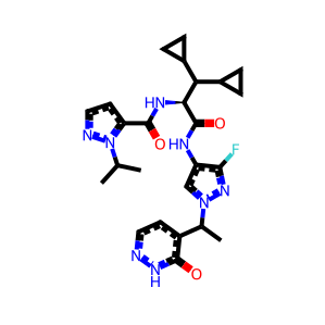 CC(c1ccn[nH]c1=O)n1cc(NC(=O)[C@@H](NC(=O)c2ccnn2C(C)C)C(C2CC2)C2CC2)c(F)n1